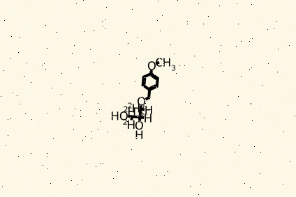 [2H]C([2H])(O)C([2H])(O)C([2H])([2H])OCc1ccc(OC)cc1